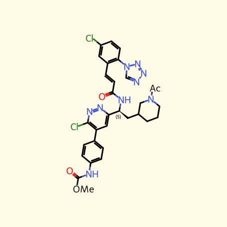 COC(=O)Nc1ccc(-c2cc([C@H](CC3CCCN(C(C)=O)C3)NC(=O)C=Cc3cc(Cl)ccc3-n3cnnn3)nnc2Cl)cc1